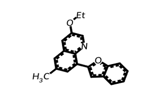 CCOc1cnc2c(-c3cc4ccccc4o3)cc(C)cc2c1